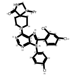 CC(C)N1CNC(=O)C12CCN(c1ncnc3c1nc(-c1ccc(Cl)cc1Cl)n3-c1ccc(Cl)cc1)CC2